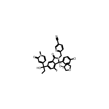 CCC(O)(c1cc(F)c2c(c1)C(=O)N(Cc1ccc(C#N)cn1)[C@@]2(O[C@H]1CCOC1)c1ccc(Cl)cc1)c1ccn(C)c(=O)c1